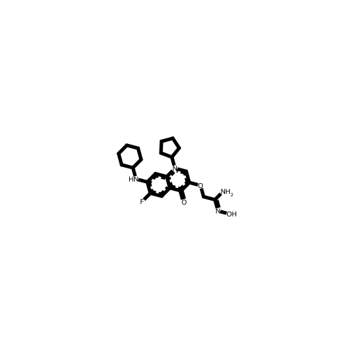 N/C(COc1cn(C2CCCC2)c2cc(NC3CCCCC3)c(F)cc2c1=O)=N\O